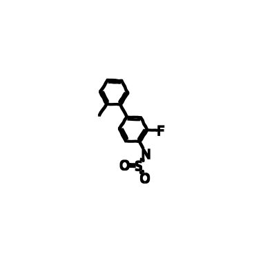 Cc1ccccc1-c1ccc(N=S(=O)=O)c(F)c1